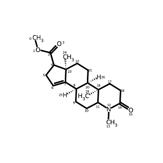 COC(=O)C1CC=C2[C@@H]3CCC4N(C)C(=O)CC[C@]4(C)[C@@H]3CC[C@@]21C